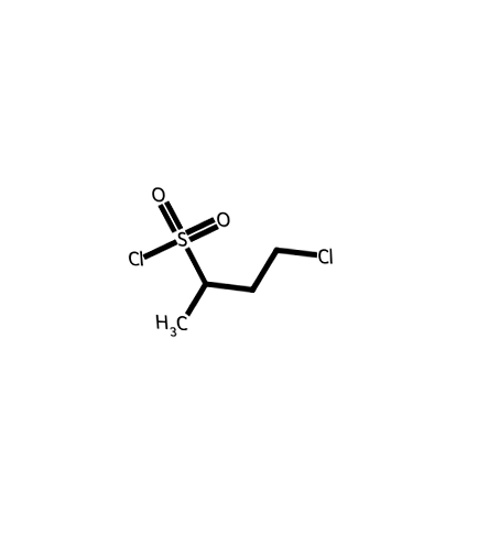 CC(CCCl)S(=O)(=O)Cl